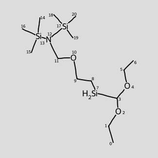 CCOC(OCC)[SiH2]CCOCN([Si](C)(C)C)[Si](C)(C)C